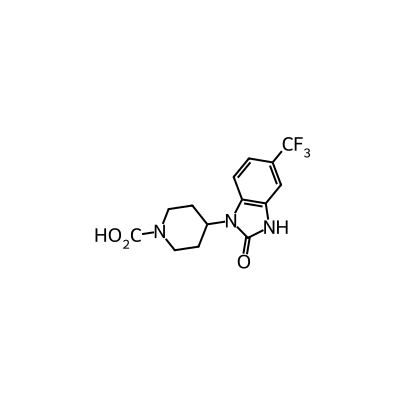 O=C(O)N1CCC(n2c(=O)[nH]c3cc(C(F)(F)F)ccc32)CC1